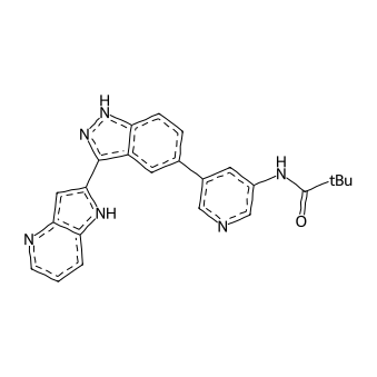 CC(C)(C)C(=O)Nc1cncc(-c2ccc3[nH]nc(-c4cc5ncccc5[nH]4)c3c2)c1